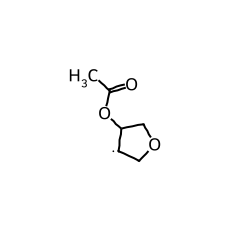 CC(=O)OC1[CH]COC1